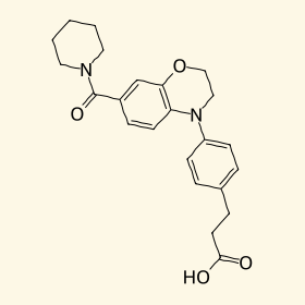 O=C(O)CCc1ccc(N2CCOc3cc(C(=O)N4CCCCC4)ccc32)cc1